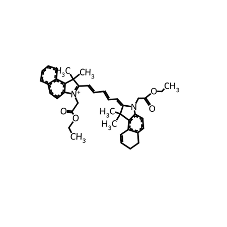 CCOC(=O)CN1/C(=C/C=C/C=C/C2=[N+](CC(=O)OCC)c3ccc4ccccc4c3C2(C)C)C(C)(C)c2c1ccc1c2C=CCC1